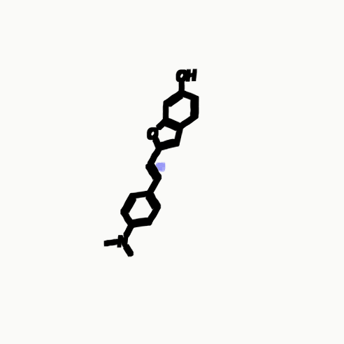 CN(C)c1ccc(/C=C/c2cc3ccc(O)cc3o2)cc1